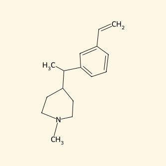 C=Cc1cccc(C(C)C2CCN(C)CC2)c1